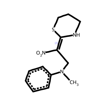 CN(C/C(=C1\NCCCS1)[N+](=O)[O-])c1ccccc1